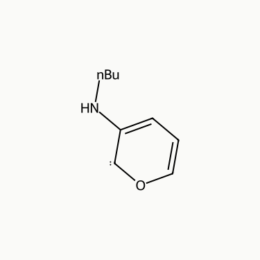 CCCCNC1=CC=CO[C]1